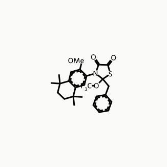 COc1cc2c(cc1N1C(=O)C(=O)SC1(Cc1ccccc1)OC(F)(F)F)C(C)(C)CCC2(C)C